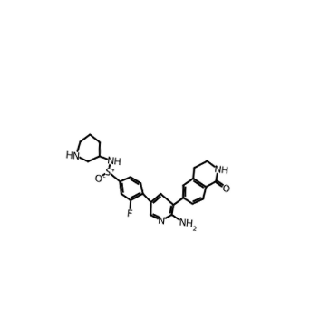 Nc1ncc(-c2ccc([S+]([O-])NC3CCCNC3)cc2F)cc1-c1ccc2c(c1)CCNC2=O